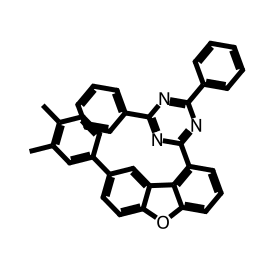 Cc1ccc(-c2ccc3oc4cccc(-c5nc(-c6ccccc6)nc(-c6ccccc6)n5)c4c3c2)cc1C